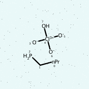 CCCCP.[O-][Cl+3]([O-])([O-])O